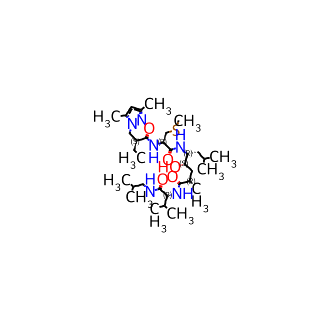 CC[C@@H](Cn1nc(C)cc1C)C(=O)N[C@@H](CSC)C(=O)N[C@H](CC(C)C)[C@@H](O)C[C@@H](C)C(=O)N[C@@H](C(=O)NCC(C)C)C(C)C